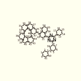 c1ccc(-c2cccc(-c3nc(-c4ccccc4)nc(-c4ccc(-c5cc6ccc7cccc8c9cccc%10ccc%11cccc(c(c5)c6c78)c%11c%109)c5ccccc45)n3)c2)cc1